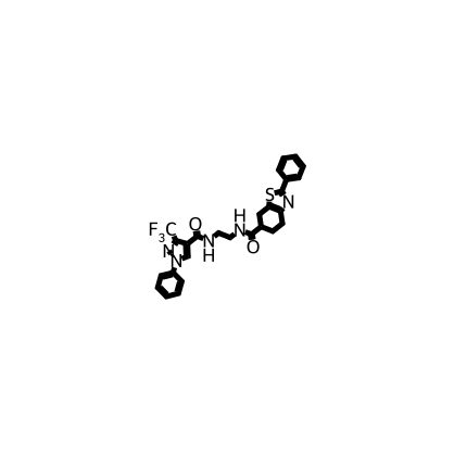 O=C(NCCNC(=O)C1CCc2nc(-c3ccccc3)sc2C1)c1cn(-c2ccccc2)nc1C(F)(F)F